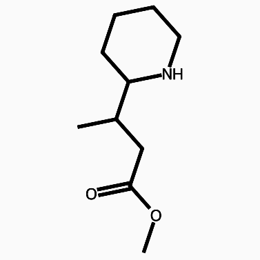 COC(=O)CC(C)C1CCCCN1